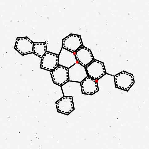 c1ccc(-c2ccc(N(c3ccccc3-c3cccc4c3oc3ccccc34)c3cccc(-c4ccccc4)c3-c3ccccc3-c3ccccc3)cc2)cc1